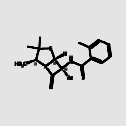 CC(=O)[C@]1(NC(=S)c2ccccc2C)C(=O)N2[C@@H](C(=O)O)C(C)(C)S[C@@H]21